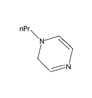 CCCN1C=CN=CC1